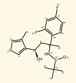 Cc1nocc1[C@H](O)CC(C)(N[S+]([O-])C(C)(C)C)c1ccc(F)cc1F